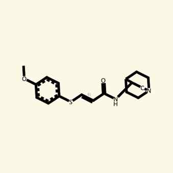 COc1ccc(S/C=C/C(=O)NC2CN3CCC2CC3)cc1